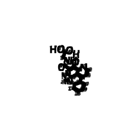 O=C(O)CNC(=O)c1c(O)c2nccc(-c3ccccc3)c2c2ncnn12